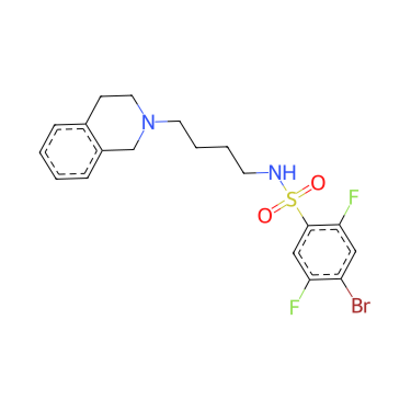 O=S(=O)(NCCCCN1CCc2ccccc2C1)c1cc(F)c(Br)cc1F